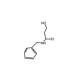 CCC(CCO)NCc1ccccc1